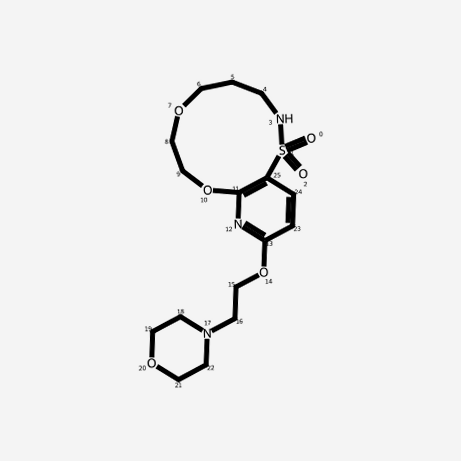 O=S1(=O)NCCCOCCOc2nc(OCCN3CCOCC3)ccc21